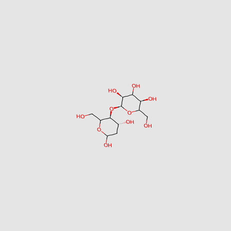 OCC1O[C@@H](O[C@@H]2C(CO)OC(O)C[C@H]2O)[C@@H](O)C(O)[C@H]1O